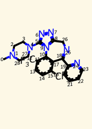 CN1CCN(c2nnc3n2-c2c(C(F)(F)F)ccc(C(F)(F)F)c2C(c2ccccn2)=NC3)CC1